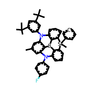 Cc1cc2c3c(c1)N(c1cc(C(C)(C)C)cc(C(C)(C)C)c1)c1cccc4c1B3c1c(cccc1[Si]4(C)c1ccccc1)N2c1ccc(F)cc1